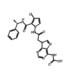 C[C@@H](NC(=O)c1c(Cl)ccn1NC(=O)Cn1cnc2c(NC(=O)O)ncnc21)c1ccccc1